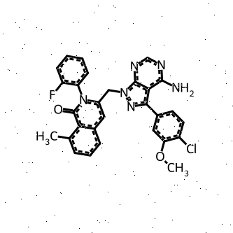 COc1cc(-c2nn(Cc3cc4cccc(C)c4c(=O)n3-c3ccccc3F)c3ncnc(N)c23)ccc1Cl